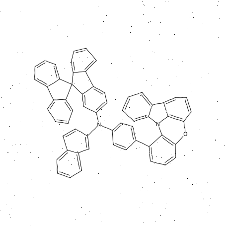 c1ccc2c(c1)-c1ccccc1C21c2ccccc2-c2ccc(N(c3ccc(-c4cccc5c4-n4c6ccccc6c6cccc(c64)O5)cc3)c3ccc4ccccc4c3)cc21